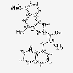 COc1cccc2c1nc(N)n1cc(C(=O)N(C)Cc3cccc4cccnc34)nc21